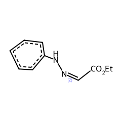 CCOC(=O)/C=N\Nc1ccccc1